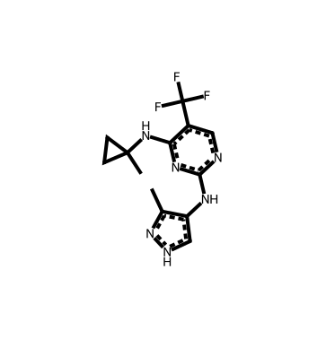 Cc1n[nH]cc1Nc1ncc(C(F)(F)F)c(NC2(C)CC2)n1